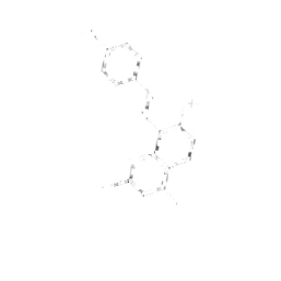 Cc1cc(=O)oc2c(N=Nc3ccc([N+](=O)[O-])cc3)c(O)ccc12